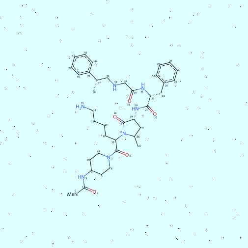 CNC(=O)NC1CCN(C(=O)C(CCCCN)N2C(=O)[C@H](NC(=O)[C@@H](Cc3ccccc3)NC(=O)CNC[C@H](C)c3ccccc3)CC2C)CC1